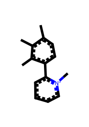 Cc1ccc(-c2cccc[n+]2C)c(C)c1C